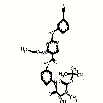 CCCNc1nc(Nc2cccc(C#N)c2)ncc1C(=O)Nc1cccc(NC(=O)[C@H](C)N(C)C(=O)OC(C)(C)C)c1